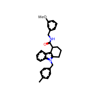 COc1cccc(CNC(=O)C2CCCc3c2c2ccccc2n3Cc2ccc(C)cc2)c1